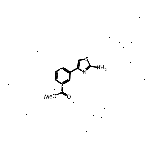 COC(=O)c1cccc(-c2csc(N)n2)c1